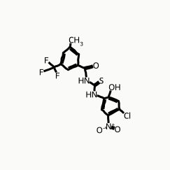 Cc1cc(C(=O)NC(=S)Nc2cc([N+](=O)[O-])c(Cl)cc2O)cc(C(F)(F)F)c1